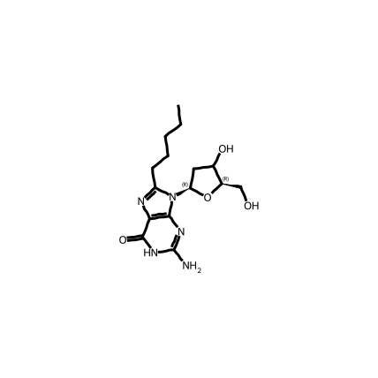 CCCCCc1nc2c(=O)[nH]c(N)nc2n1[C@H]1CC(O)[C@@H](CO)O1